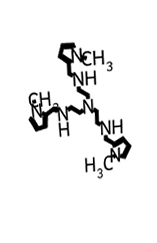 Cn1cccc1CNCCN(CCNCc1cccn1C)CCNCc1cccn1C